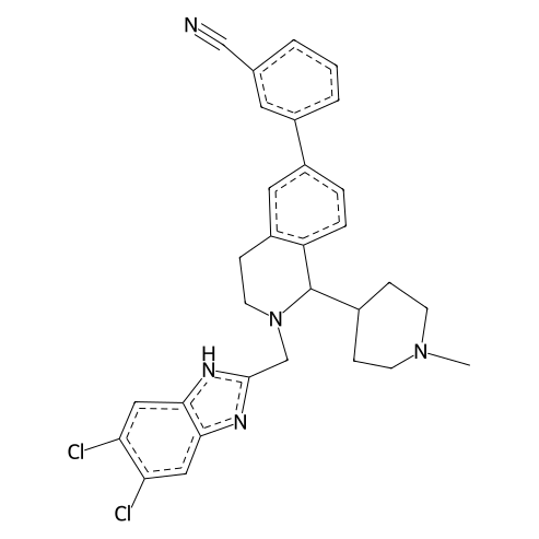 CN1CCC(C2c3ccc(-c4cccc(C#N)c4)cc3CCN2Cc2nc3cc(Cl)c(Cl)cc3[nH]2)CC1